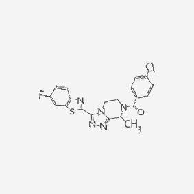 CC1c2nnc(-c3nc4ccc(F)cc4s3)n2CCN1C(=O)c1ccc(Cl)cc1